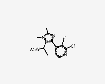 CNC(C)c1c(-c2ccnc(Cl)c2F)nc(C)n1C